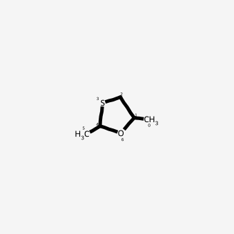 CC1CSC(C)O1